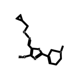 COc1nc(C2=CCCN(C)C2)sc1/C=N/OCC1CC1